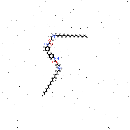 CCCCCCCCCCCCCCCC[N+](C)(C)CCOC(=O)Nc1ccc(Cc2ccc(NC(=O)OCC[N+](C)(C)CCCCCCCCCCCCCCCC)cc2)cc1